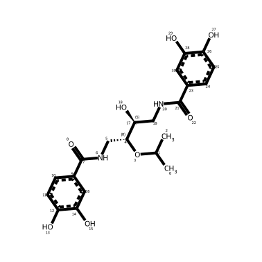 CC(C)O[C@H](CNC(=O)c1ccc(O)c(O)c1)[C@@H](O)CNC(=O)c1ccc(O)c(O)c1